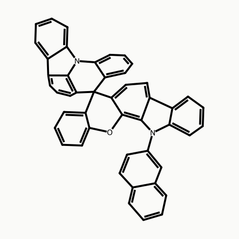 c1ccc2c(c1)Oc1c(ccc3c4ccccc4n(-c4ccc5ccccc5c4)c13)C21c2ccccc2-n2c3ccccc3c3cccc1c32